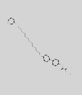 C=C(C)C(=O)Oc1ccc(-c2ccc(OCCCCCCCCCCCCOc3cccnc3)cc2)cc1